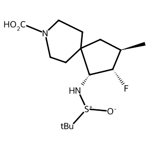 C[C@@H]1CC2(CCN(C(=O)O)CC2)[C@@H](N[S+]([O-])C(C)(C)C)[C@H]1F